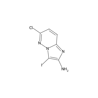 Nc1nc2ccc(Cl)nn2c1I